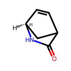 O=C1N[C@H]2C=CC1C2